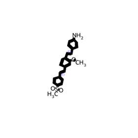 COc1cc(/C=C/c2ccc(S(C)(=O)=O)cc2)ccc1/C=C/c1ccc(N)cc1